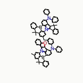 Cc1cc2c3c(c1)C(C)(C)c1ccccc1B3c1ccc(N(c3ccccc3)c3cccc(Cc4cc5c6c(c4)C(C)(C)c4ccccc4B6c4ccc(N(c6ccccc6)c6ccccc6)c6c7c(n-5c46)-c4ccccc4C7(C)C)c3)c3c4oc5ccccc5c4n-2c13